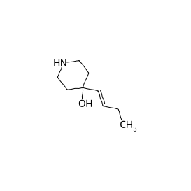 CC/C=C/C1(O)CCNCC1